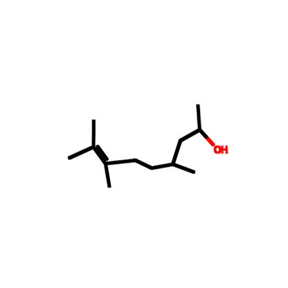 CC(C)=C(C)CCC(C)CC(C)O